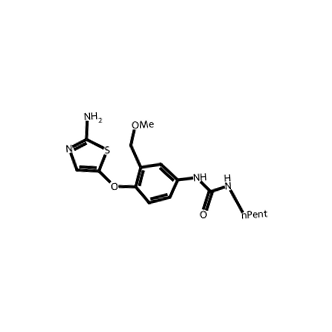 CCCCCNC(=O)Nc1ccc(Oc2cnc(N)s2)c(COC)c1